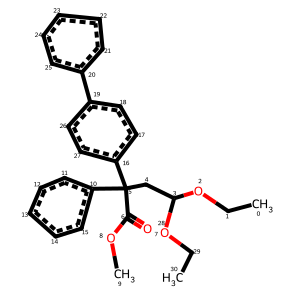 CCOC(CC(C(=O)OC)(c1ccccc1)c1ccc(-c2ccccc2)cc1)OCC